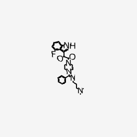 CN(C)CCC/N=C(\c1ccccc1)N1CCN(C(=O)C(=O)c2c[nH]c3cccc(F)c23)CC1